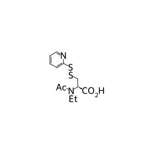 CCN(C(C)=O)[C@@H](CSSc1ccccn1)C(=O)O